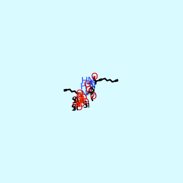 C#CCCCCC#Cc1cn([C@H]2C[C@@H](OCC)[C@@H](CNP(=O)(OCCCCC#C)OP(=O)(O[Si](C)(C)C)OP(=O)(O[Si](C)(C)C)O[Si](C)(C)C)O2)c(=O)[nH]c1=O